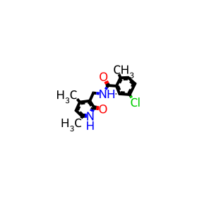 Cc1cc(C)c(CNC(=O)c2[c]c(Cl)ccc2C)c(=O)[nH]1